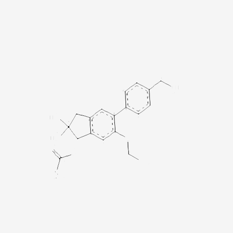 CCOc1cc2c(cc1-c1ccc(CC)cc1)CC(C)(C)[C@H]2OC(N)=O